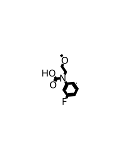 COCCN(C(=O)O)c1[c]ccc(F)c1